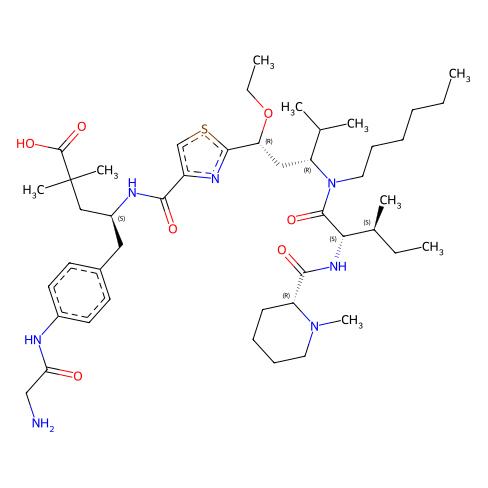 CCCCCCN(C(=O)[C@@H](NC(=O)[C@H]1CCCCN1C)[C@@H](C)CC)[C@H](C[C@@H](OCC)c1nc(C(=O)N[C@@H](Cc2ccc(NC(=O)CN)cc2)CC(C)(C)C(=O)O)cs1)C(C)C